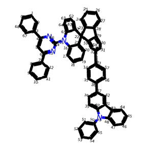 c1ccc(-c2cc(-c3ccccc3)nc(N3c4ccccc4C4(c5ccccc5-c5ccc(-c6ccc(-c7ccc8c(c7)c7ccccc7n8-c7ccccc7)cc6)cc54)c4ccccc43)n2)cc1